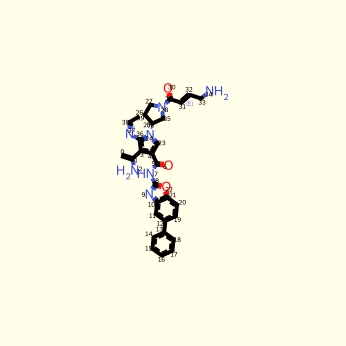 C=C(N)c1c(C(=O)Nc2nc3cc(-c4ccccc4)ccc3o2)cn([C@@H]2CCN(C(=O)/C=C/CN)C2)c1/N=C\C